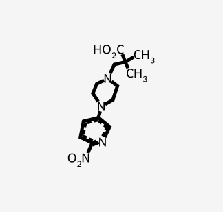 CC(C)(CN1CCN(c2ccc([N+](=O)[O-])nc2)CC1)C(=O)O